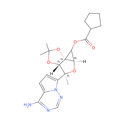 CC1(C)O[C@@H]2[C@@]3(O1)C(OC(=O)C1CCCC1)[C@H]3O[C@@]2(C)c1ccc2c(N)ncnn12